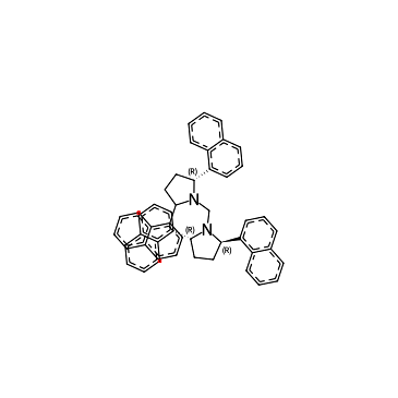 c1ccc2c(C3CC[C@H](c4cccc5ccccc45)N3CN3[C@@H](c4cccc5ccccc45)CC[C@@H]3c3cccc4ccccc34)cccc2c1